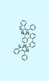 c1ccc(-c2nc(-c3cccc(-c4ccccc4-c4ccccc4-c4nc(-c5ccccc5)c5c(n4)sc4ccccc45)c3)nc3sc4ccccc4c23)cc1